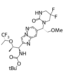 COC[C@H](c1cnn2cc([C@@H](NC(=O)OC(C)(C)C)[C@@H](C)O[C@H](C)C(F)(F)F)nc2c1)N1CC(F)(F)CNC1=O